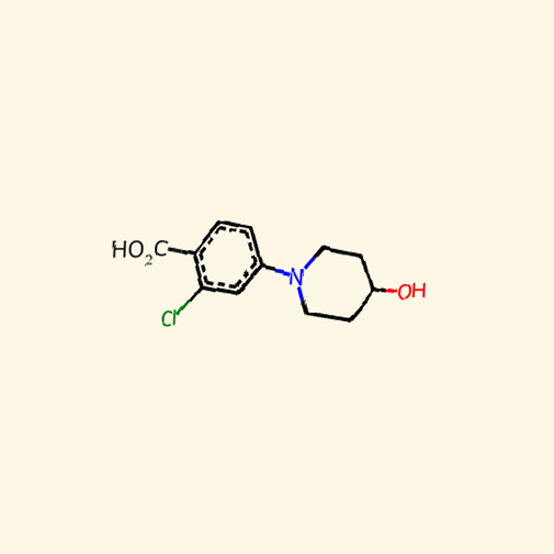 O=C(O)c1ccc(N2CCC(O)CC2)cc1Cl